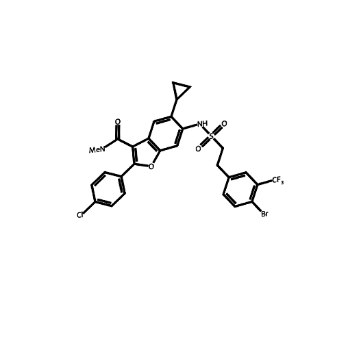 CNC(=O)c1c(-c2ccc(Cl)cc2)oc2cc(NS(=O)(=O)CCc3ccc(Br)c(C(F)(F)F)c3)c(C3CC3)cc12